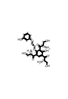 N[C@@H](CO)C(=O)c1cc(C(=O)[C@@H](N)CO)c(ON=NOc2cccc(O)c2)c(C(=O)[C@@H](N)CO)c1O